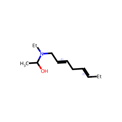 CC/C=C/C/C=C/CN(CC)C(C)O